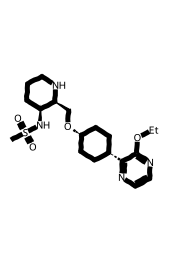 CCOc1nccnc1[C@H]1CC[C@@H](OC[C@@H]2NCCC[C@@H]2NS(C)(=O)=O)CC1